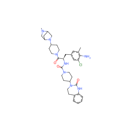 Cc1cc(C[C@@H](NC(=O)N2CCC(N3CCc4ccccc4NC3=O)CC2)C(=O)N2CCC(N3CC4CC3CN4C)CC2)cc(Cl)c1N